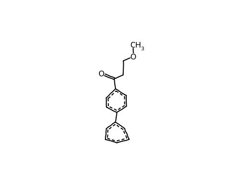 COCCC(=O)c1ccc(-c2ccccc2)cc1